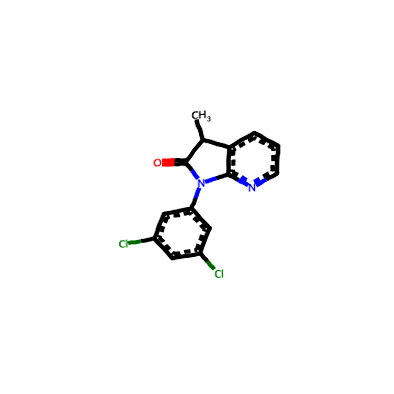 CC1C(=O)N(c2cc(Cl)cc(Cl)c2)c2ncccc21